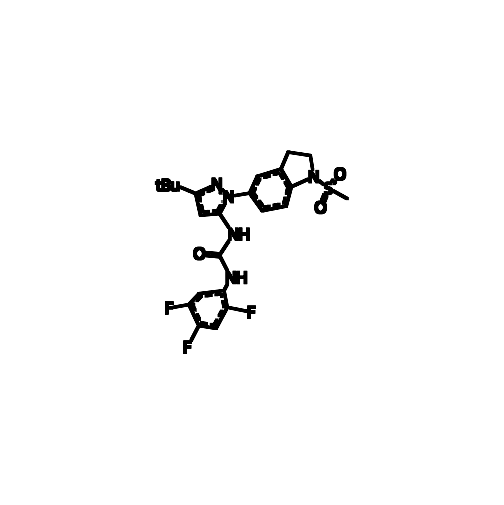 CC(C)(C)c1cc(NC(=O)Nc2cc(F)c(F)cc2F)n(-c2ccc3c(c2)CCN3S(C)(=O)=O)n1